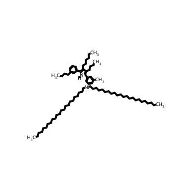 CCCCCCC1=C(c2cccc(CCCC)c2)[N+](=[N-])C(c2cccc(C)c2)=C1CCCC.CCCCCCCCCCCCCCCCCCCCCC[CH2][Ni][CH2]CCCCCCCCCCCCCCCCCCCCCC